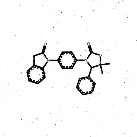 CC1(C)OC(=O)N(c2ccc(N3C(=O)Cc4ccccc43)cc2)C1c1ccccc1